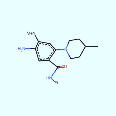 CCNC(=O)c1cc(N)c(NC)cc1N1CCC(C)CC1